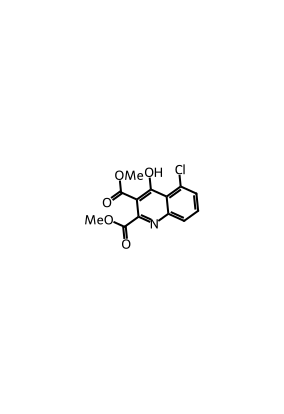 COC(=O)c1nc2cccc(Cl)c2c(O)c1C(=O)OC